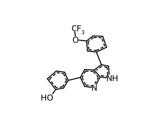 Oc1cccc(-c2cnc3[nH]cc(-c4cccc(OC(F)(F)F)c4)c3c2)c1